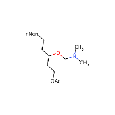 CCCCCCCCCCCC(CCOC(C)=O)OCN(C)C